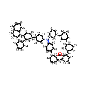 c1ccc(-c2cccc(N(c3ccc(-c4ccc(-c5cccc6ccccc56)c(-c5ccccc5)c4)cc3)c3ccc(-c4cccc5c4oc4c(-c6ccccc6)cccc45)cc3)c2)cc1